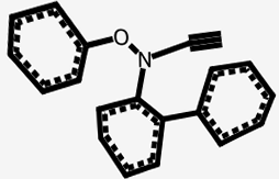 C#CN(Oc1ccccc1)c1ccccc1-c1ccccc1